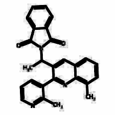 Cc1ncccc1-c1nc2c(C)cccc2cc1C(C)N1C(=O)c2ccccc2C1=O